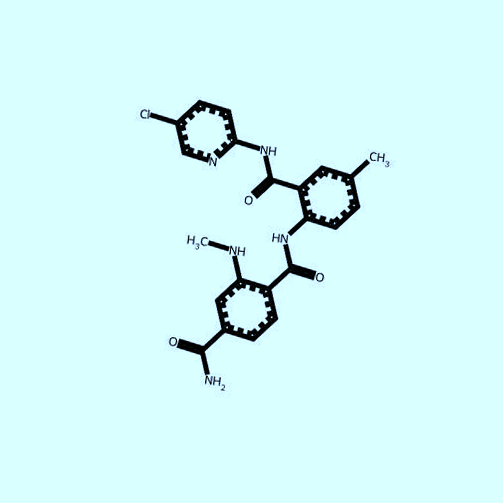 CNc1cc(C(N)=O)ccc1C(=O)Nc1ccc(C)cc1C(=O)Nc1ccc(Cl)cn1